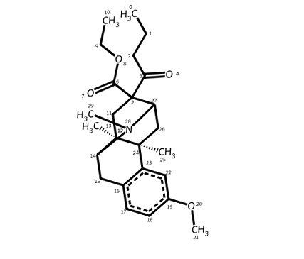 CCCC(=O)C1(C(=O)OCC)C[C@]2(C)C3Cc4ccc(OC)cc4[C@]2(C)CC1N3C